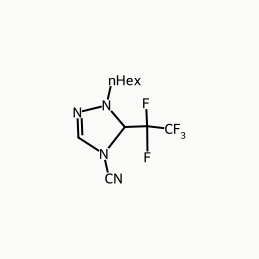 CCCCCCN1N=CN(C#N)C1C(F)(F)C(F)(F)F